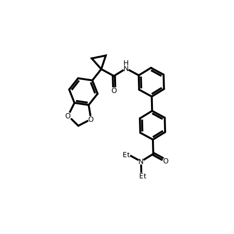 CCN(CC)C(=O)c1ccc(-c2cccc(NC(=O)C3(c4ccc5c(c4)OCO5)CC3)c2)cc1